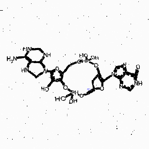 NC1=C2NCN(c3oc4c(c3O)O[PH](O)(O)O/C=C3\CC(=C(n5cnc6c(=O)[nH]cnc65)O3)O[PH](O)(O)OC4)C2NCN1